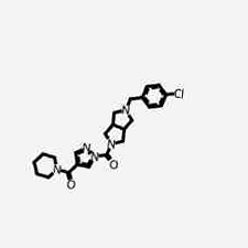 O=C(c1cnn(C(=O)N2CC3CN(Cc4ccc(Cl)cc4)CC3C2)c1)N1CCCCC1